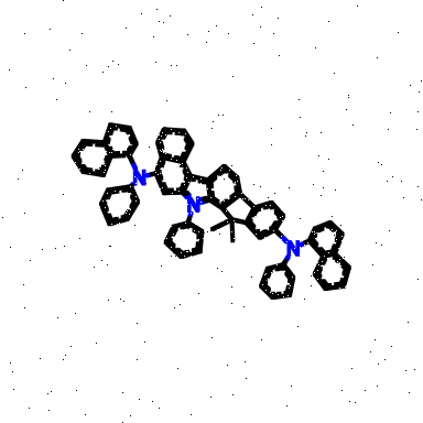 CC1(C)c2cc(N(c3ccccc3)c3cccc4ccccc34)ccc2-c2ccc3c4c5ccccc5c(N(c5ccccc5)c5cccc6ccccc56)cc4n(-c4ccccc4)c3c21